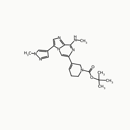 CNc1nc(C2=CCCN(C(=O)OC(C)(C)C)C2)cn2c(-c3cnn(C)c3)cnc12